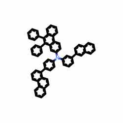 c1ccc(-c2c(-c3ccccc3)c3cc(N(c4ccc(-c5cccc6c5ccc5ccccc56)cc4)c4cccc(-c5ccc6ccccc6c5)c4)ccc3c3ccccc23)cc1